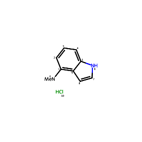 CNc1cccc2[nH]ccc12.Cl